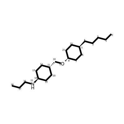 CCCCC[C@H]1CC[C@H](OC[C@H]2CC[C@H](NCCC)CC2)CC1